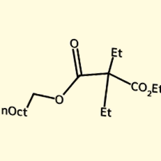 CCCCCCCCCOC(=O)C(CC)(CC)C(=O)OCC